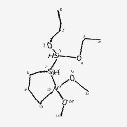 CCO[SiH](OCC)[SiH]1CCC[N+]1(OC)OC